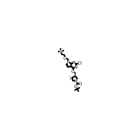 C[C@H]1CN(C(=O)OC(C)(C)C)C[C@@H]1COc1nc(Cl)nc2c1ccn2COCC[Si](C)(C)C